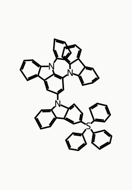 c1ccc(-n2c3ccccc3c3cc(-n4c5ccccc5c5cc(S(c6ccccc6)(c6ccccc6)c6ccccc6)ccc54)cc(-n4c5ccccc5c5ccccc54)c32)cc1